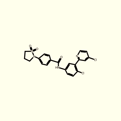 O=C(Nc1ccc(Cl)c(-c2cc(Cl)ccn2)c1)c1ccc(N2CCCS2(=O)=O)cc1